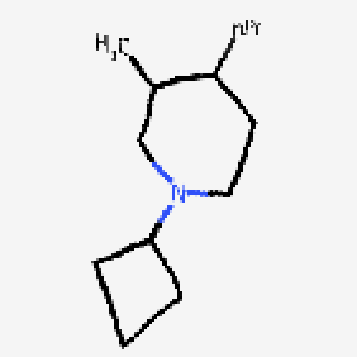 CCCC1CCN(C2CCC2)CC1C